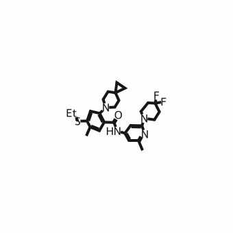 CCSc1cc(N2CCC3(CC2)CC3)c(C(=O)Nc2cc(C)nc(N3CCC(F)(F)CC3)c2)cc1C